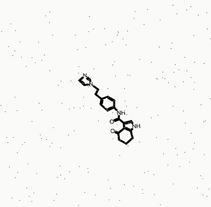 O=C(Nc1ccc(CCn2ccnc2)cc1)c1c[nH]c2c1C(=O)CCC2